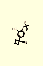 N#CC1(c2ccc(OC(F)(F)F)c(O)c2)CCC1